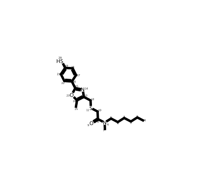 CCCCCCN(C)C(=O)CSCc1nc(-c2ccc(S)cc2)oc1C